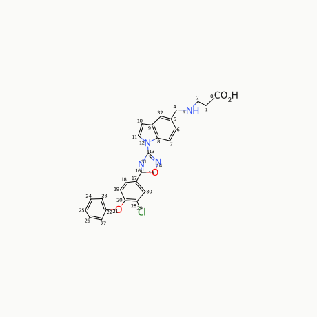 O=C(O)CCNCc1ccc2c(ccn2-c2noc(-c3ccc(Oc4ccccc4)c(Cl)c3)n2)c1